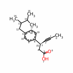 CC#C[C@@H](CC(=O)O)c1ccc(CC(C)C(C)C)cc1